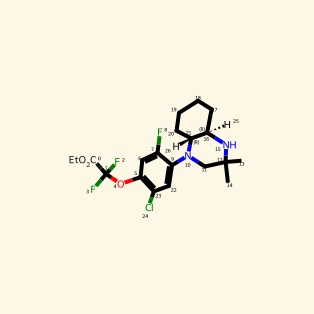 CCOC(=O)C(F)(F)Oc1cc(F)c(N2CC(C)(C)N[C@@H]3CCCC[C@H]32)cc1Cl